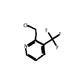 FC(F)(F)c1cccnc1CCl